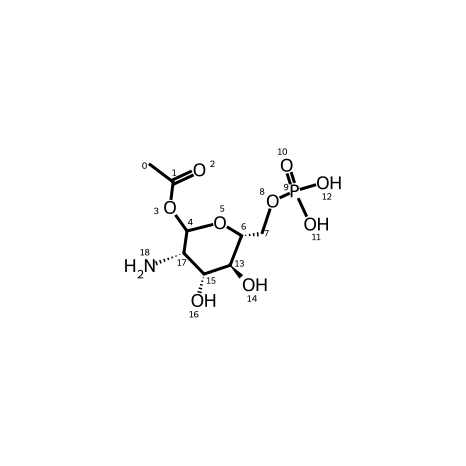 CC(=O)OC1O[C@H](COP(=O)(O)O)[C@@H](O)[C@H](O)[C@@H]1N